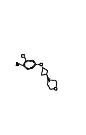 Clc1cc(O[C@H]2C[C@H](N3CCOCC3)C2)ccc1Br